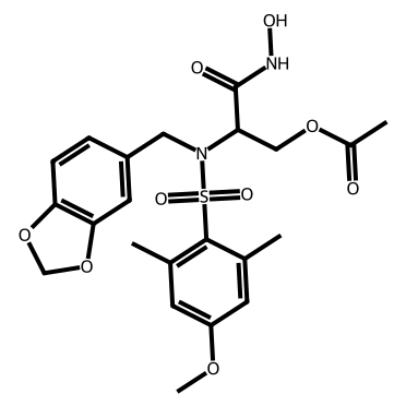 COc1cc(C)c(S(=O)(=O)N(Cc2ccc3c(c2)OCO3)C(COC(C)=O)C(=O)NO)c(C)c1